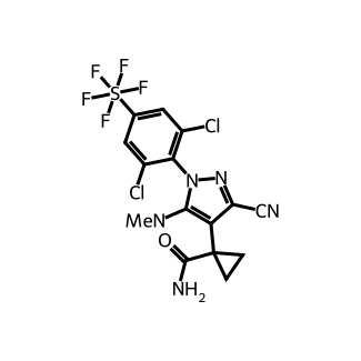 CNc1c(C2(C(N)=O)CC2)c(C#N)nn1-c1c(Cl)cc(S(F)(F)(F)(F)F)cc1Cl